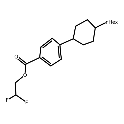 CCCCCCC1CCC(c2ccc(C(=O)OCC(F)F)cc2)CC1